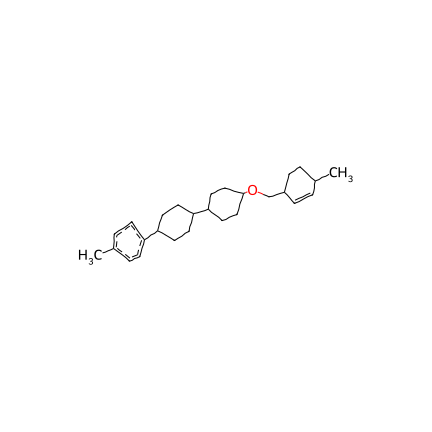 Cc1ccc(C2CCC(C3CCC(OCC4C=CC(C)CC4)CC3)CC2)cc1